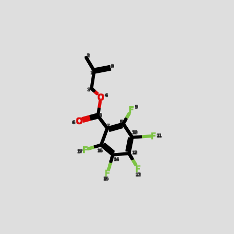 C=C(C)COC(=O)c1c(F)c(F)c(F)c(F)c1F